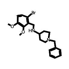 COc1[c]cc(Br)c(CNC2CCN(Cc3ccccc3)CC2)c1OC